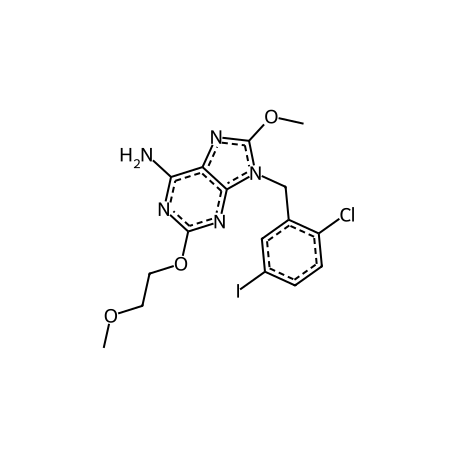 COCCOc1nc(N)c2nc(OC)n(Cc3cc(I)ccc3Cl)c2n1